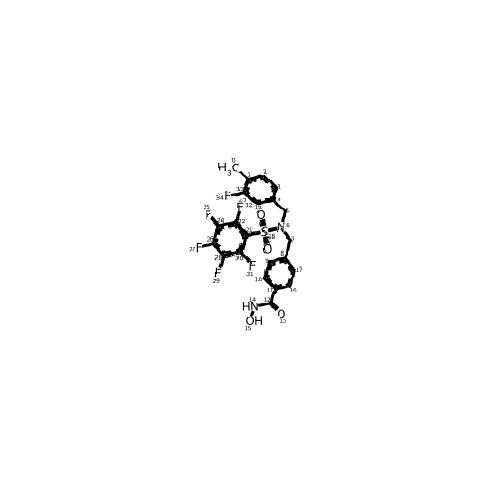 Cc1ccc(CN(Cc2ccc(C(=O)NO)cc2)S(=O)(=O)c2c(F)c(F)c(F)c(F)c2F)cc1F